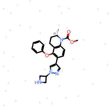 COC(=O)N1c2ccc(-c3cnn(C4CNC4)c3)c(Oc3ccccc3)c2CC[C@@H]1C